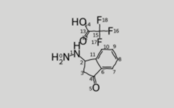 NNC1CC(=O)c2ccccc21.O=C(O)C(F)(F)F